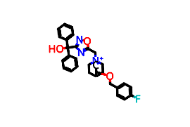 OC(c1ccccc1)(c1ccccc1)c1noc(C[N+]23CCC(CC2)C(OCc2ccc(F)cc2)C3)n1